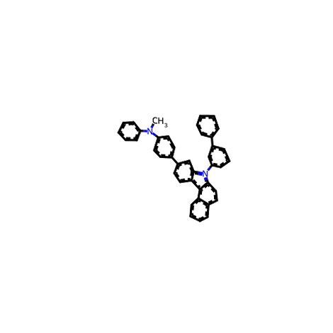 CN(c1ccccc1)c1ccc(-c2ccc3c4c5ccccc5ccc4n(-c4cccc(-c5ccccc5)c4)c3c2)cc1